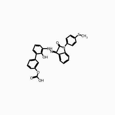 CSc1ccc(N2C(=O)C(=NNc3cccc(-c4cccc(OC(=O)O)c4)c3O)c3ccccc32)cc1